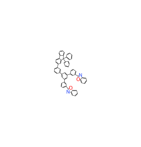 c1ccc(C2(c3ccccc3)c3ccccc3-c3ccc(-c4cccc(-c5cc(-c6cccc(-c7nc8ccccc8o7)c6)cc(-c6cccc(-c7nc8ccccc8o7)c6)c5)c4)cc32)cc1